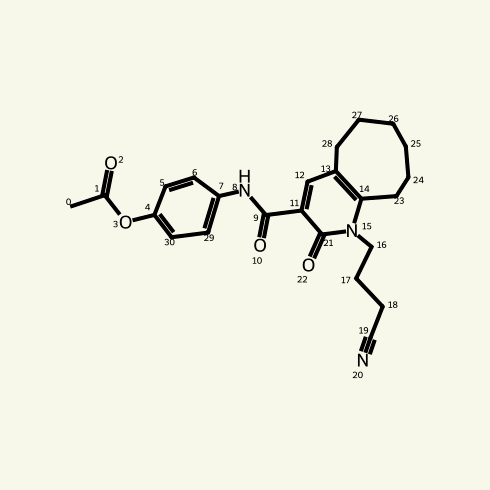 CC(=O)Oc1ccc(NC(=O)c2cc3c(n(CCCC#N)c2=O)CCCCCC3)cc1